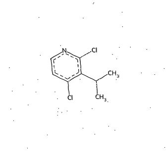 CC(C)c1c(Cl)ccnc1Cl